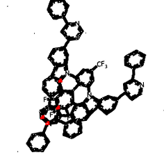 Fc1c(F)c(F)c(-c2c(-n3c4cc(-c5ccnc(-c6ccccc6)c5)ccc4c4ccc(-c5ccnc(-c6ccccc6)c5)cc43)cc(C(F)(F)F)cc2-n2c3cc(-c4ccnc(-c5ccccc5)c4)ccc3c3ccc(-c4ccnc(-c5ccccc5)c4)cc32)c(F)c1F